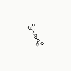 CC1(C)CC(C)(C)C2(C)c3cc(-c4ccc5c(c4)C(C)(C)c4cc(-c6ccc7c(c6)C6(C)C(C)(C)CC(C)(C)CC6(C)N7c6ccccc6)ccc4-5)ccc3N(c3ccccc3)C2(C)C1